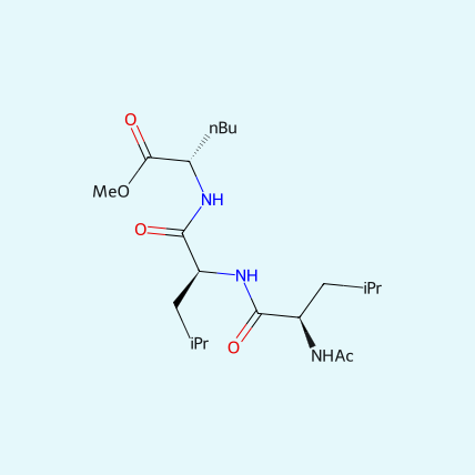 CCCC[C@H](NC(=O)[C@H](CC(C)C)NC(=O)[C@@H](CC(C)C)NC(C)=O)C(=O)OC